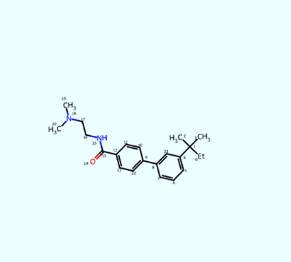 CCC(C)(C)c1cccc(-c2ccc(C(=O)NCCN(C)C)cc2)c1